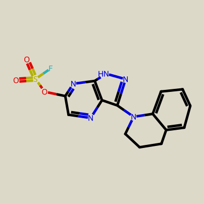 O=S(=O)(F)Oc1cnc2c(N3CCCc4ccccc43)n[nH]c2n1